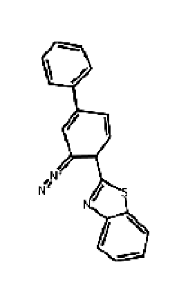 [N-]=[N+]=C1C=C(c2ccccc2)C=CC1c1nc2ccccc2s1